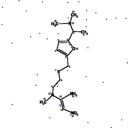 CC(c1ccc(CSCCN(C)/C(N)=C/[N+](=O)[O-])o1)N(C)C